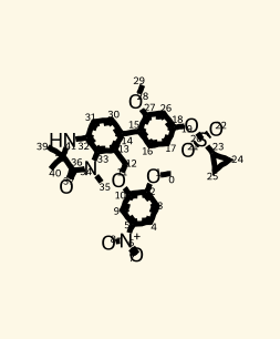 COc1ccc([N+](=O)[O-])cc1OCc1c(-c2ccc(OS(=O)(=O)C3CC3)cc2OC)ccc2c1N(C)C(=O)C(C)(C)N2